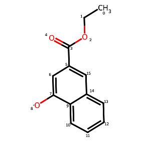 CCOC(=O)c1cc([O])c2ccccc2c1